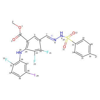 COC(=O)c1cc(/C=N/NS(=O)(=O)c2ccc(C)cc2)c(F)c(F)c1Nc1cc(I)ccc1F